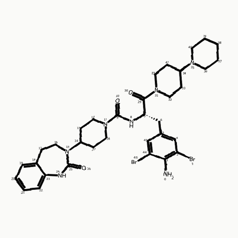 Nc1c(Br)cc(C[C@H](NC(=O)N2CCC(N3CCc4ccccc4NC3=O)CC2)C(=O)N2CCC(N3CCCCC3)CC2)cc1Br